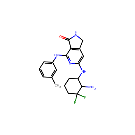 Cc1cccc(Nc2nc(NC3CCCC(F)(F)C3N)cc3c2C(=O)NC3)c1